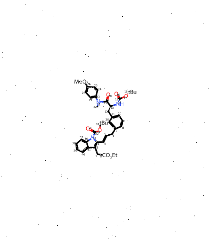 CCOC(=O)Cc1c(C=CCc2cccc(C[C@H](NC(=O)OC(C)(C)C)C(=O)N(C)c3ccc(OC)cc3)c2)n(C(=O)OC(C)(C)C)c2ccccc12